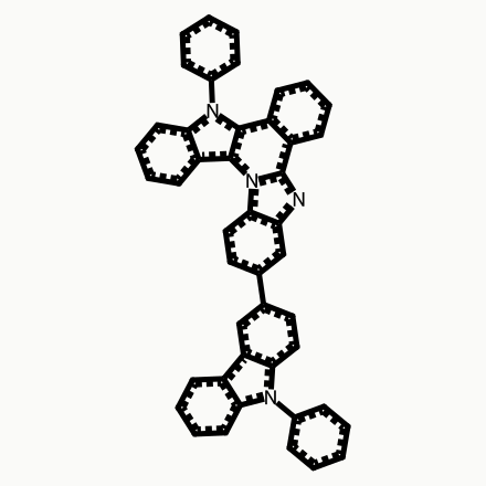 c1ccc(-n2c3ccccc3c3cc(-c4ccc5c(c4)nc4c6ccccc6c6c(c7ccccc7n6-c6ccccc6)n54)ccc32)cc1